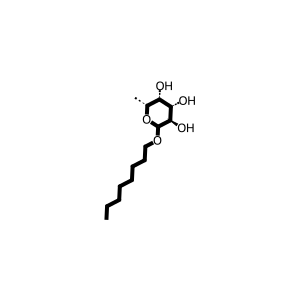 CCCCCCCCOC1O[C@H](C)[C@H](O)[C@H](O)[C@H]1O